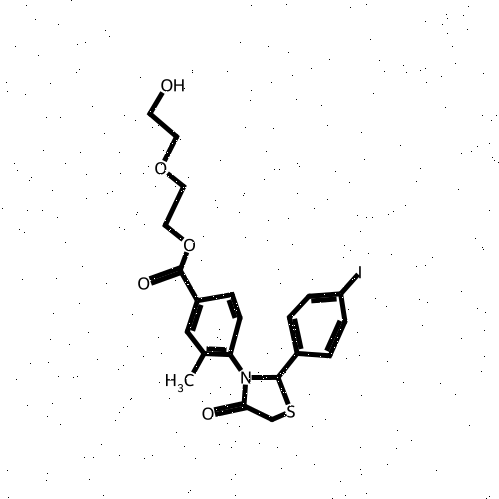 Cc1cc(C(=O)OCCOCCO)ccc1N1C(=O)CSC1c1ccc(I)cc1